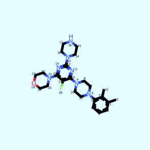 Cc1cccc(N2CCN(c3nc(N4CCNCC4)nc(N4CCOCC4)c3F)CC2)c1C